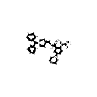 CCCN(C(N)=O)c1ccc(N2CCOCC2)cc1C(=O)NCC1CCN(C(c2ccccc2)c2ccccc2)CC1